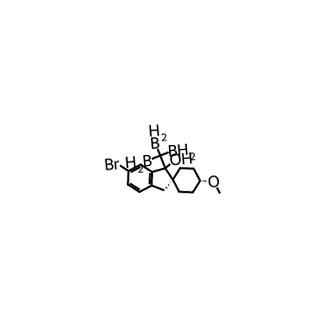 BC(B)(B)C1(O)c2cc(Br)ccc2C[C@]12CC[C@@H](OC)CC2